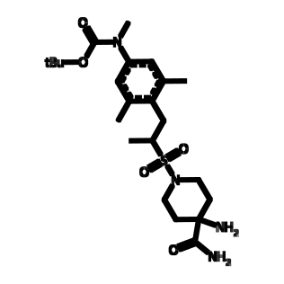 Cc1cc(N(C)C(=O)OC(C)(C)C)cc(C)c1CC(C)S(=O)(=O)N1CCC(N)(C(N)=O)CC1